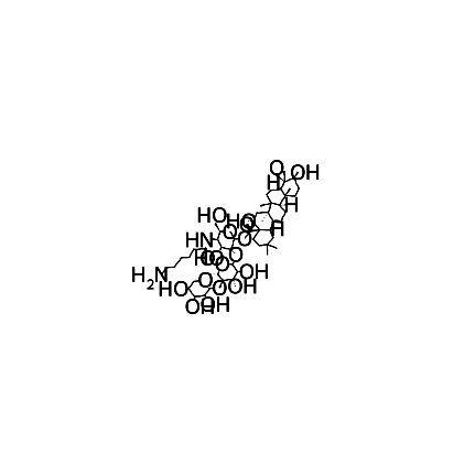 C[C@@H]1O[C@@H](O[C@H]2[C@H](OC(=O)[C@]34CCC(C)(C)C[C@H]3C3=CC[C@@H]5[C@@]6(C)CC[C@H](O)[C@@](C)(C=O)[C@@H]6CC[C@@]5(C)[C@]3(C)C[C@H]4O)O[C@H](CO)[C@H](NC(=O)CCCCCN)[C@@H]2O)[C@H](O)[C@H](O)[C@H]1O[C@@H]1OC[C@@H](O)[C@H](O)[C@H]1O